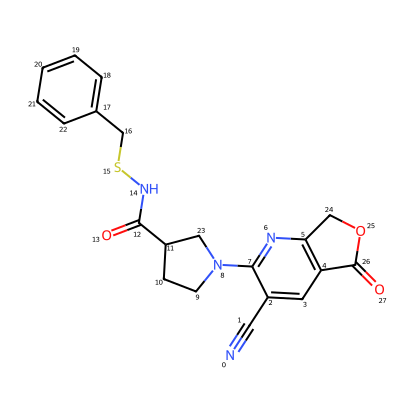 N#Cc1cc2c(nc1N1CCC(C(=O)NSCc3ccccc3)C1)COC2=O